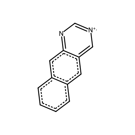 C1=[N+]C=c2cc3ccccc3cc2=N1